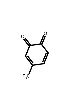 O=C1[C]=CC(C(F)(F)F)=CC1=O